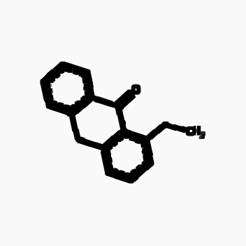 CCc1cccc2c1C(=O)c1ccccc1C2